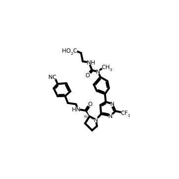 CN(C(=O)NCCC(=O)O)c1ccc(-c2cc(N3CCC[C@H]3C(=O)NCCc3ccc(C#N)cc3)nc(C(F)(F)F)n2)cc1